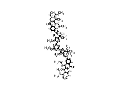 CCCCC(CC)CN(C(=O)c1ccc(/N=N/c2c(C(C)(C)C)nn(-c3nc(OC)nc(-n4nc(C(C)(C)C)c(/N=N/c5ccc(C(=O)N(CC(CC)CCCC)C(CC)CCCC)cc5)c4N)n3)c2N)cc1)C(CC)CCCC